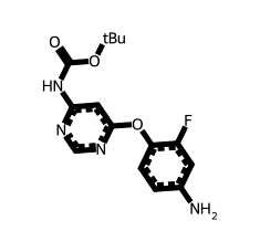 CC(C)(C)OC(=O)Nc1cc(Oc2ccc(N)cc2F)ncn1